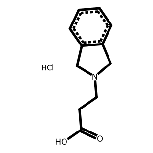 Cl.O=C(O)CCN1Cc2ccccc2C1